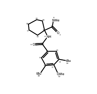 CNC(=O)C1(NC(=O)c2cc(C(C)(C)C)c(OC)c(C(C)(C)C)c2)CCCCC1